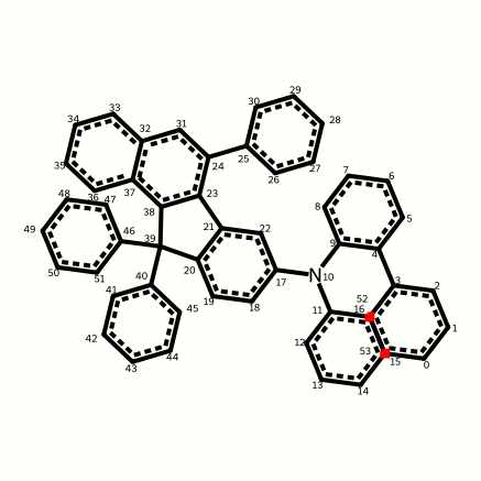 c1ccc(-c2ccccc2N(c2ccccc2)c2ccc3c(c2)-c2c(-c4ccccc4)cc4ccccc4c2C3(c2ccccc2)c2ccccc2)cc1